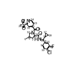 C[C@@H]1C[C@H](C(=O)N[C@@H](c2ccc(Cl)c(F)c2)C2CC2)N(C(=O)c2ccnc(S(C)(=O)=O)c2)C1